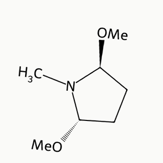 CO[C@H]1CC[C@H](OC)N1C